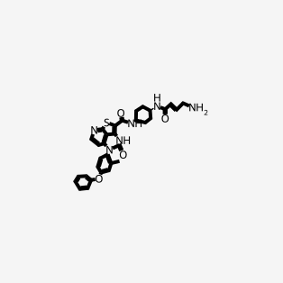 Cc1cc(Oc2ccccc2)ccc1N1C(=O)Nc2c(C(=O)N[C@H]3CC[C@@H](NC(=O)/C=C/CN)CC3)sc3nccc1c23